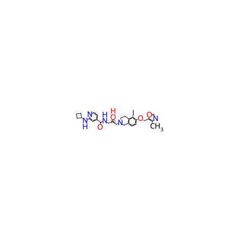 Cc1ncoc1COc1ccc2c(c1I)CCN(C[C@@H](O)CNC(=O)c1ccnc(NC3CCC3)c1)C2